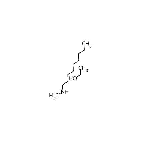 CCCCCCCCCNC.CCO